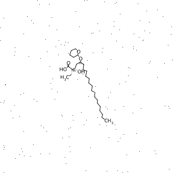 CCCCCCCCCCCCCCCCC[C@@H](C[C@H](O)[C@H](CC)C(=O)O)OC1CCCCO1